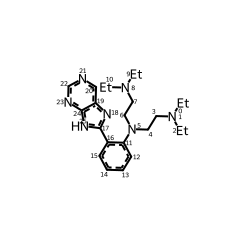 CCN(CC)CCN(CCN(CC)CC)c1ccccc1-c1nc2cncnc2[nH]1